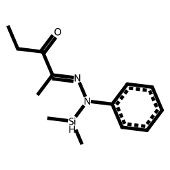 CCC(=O)C(C)=NN(c1ccccc1)[SiH](C)C